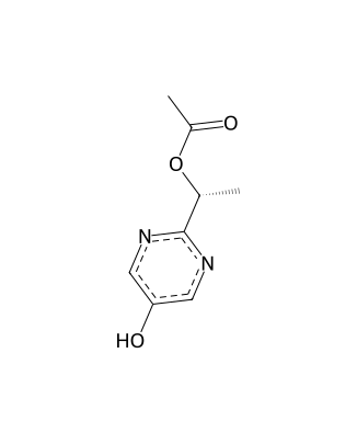 CC(=O)O[C@H](C)c1ncc(O)cn1